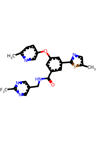 Cc1ccc(Oc2cc(C(=O)NCc3cnc(C(F)(F)F)nc3)cc(-c3ncc(C)s3)c2)cn1